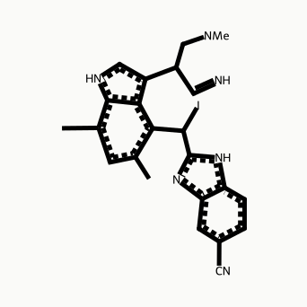 CNCC(C=N)c1c[nH]c2c(C)cc(C)c(C(I)c3nc4cc(C#N)ccc4[nH]3)c12